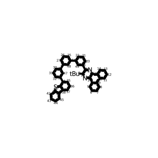 CC(C)(C)c1nc2c3ccccc3c3ccccc3c2nc1-c1cccc(-c2cccc(-c3cccc(-c4cccc5c4sc4ccccc45)c3)c2)c1